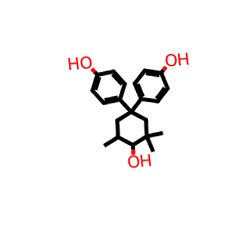 CC1CC(c2ccc(O)cc2)(c2ccc(O)cc2)CC(C)(C)C1O